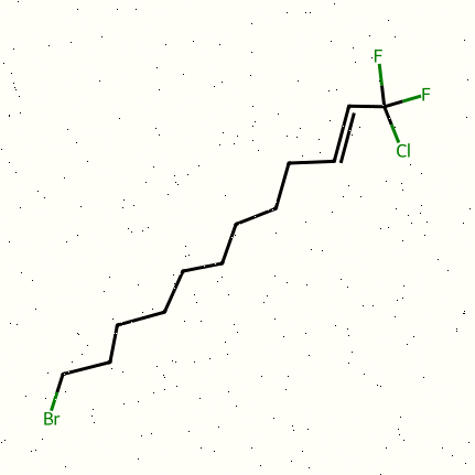 FC(F)(Cl)C=CCCCCCCCCCBr